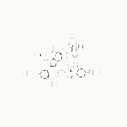 Cc1cc(C)cc(-c2c(C(C)CNS(=O)(=O)c3ccc([N+](=O)[O-])cc3[N+](=O)[O-])c3cc(C(C)(C)C(=O)C4C5CC[C@@H]4NC5)cnc3n2C(=O)OC(C)(C)C)c1